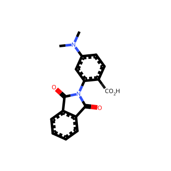 CN(C)c1ccc(C(=O)O)c(N2C(=O)c3ccccc3C2=O)c1